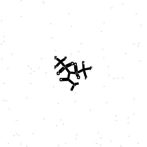 CN(C)C(=O)C(S(=O)(=O)C(F)(F)F)S(=O)(=O)C(F)(F)F